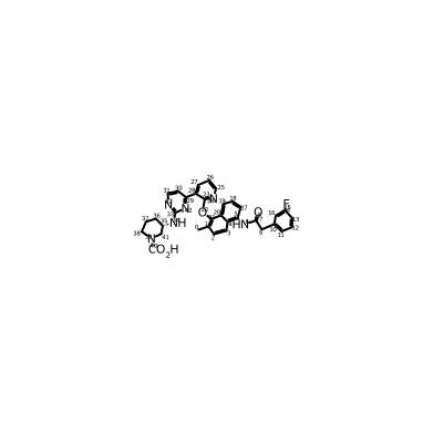 Cc1ccc2c(NC(=O)Cc3cccc(F)c3)cccc2c1Oc1ncccc1-c1ccnc(N[C@H]2CCCN(C(=O)O)C2)n1